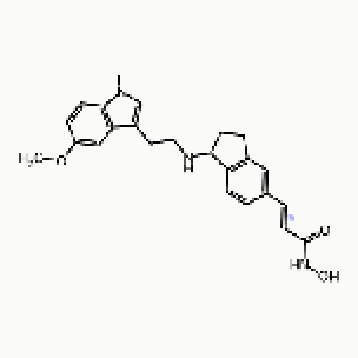 COc1ccc2[nH]cc(CCNC3CCc4cc(/C=C/C(=O)NO)ccc43)c2c1